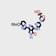 COc1cccn2c(-c3ncc(Nc4ccc(N5CCO[C@H](C(C)(C)O)C5)cn4)c4c3CNC4=O)cnc12